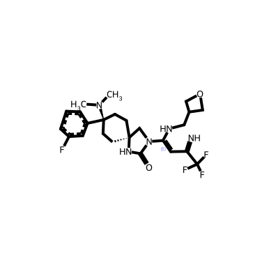 CN(C)[C@]1(c2cccc(F)c2)CC[C@]2(CC1)CN(/C(=C/C(=N)C(F)(F)F)NCC1COC1)C(=O)N2